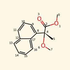 COC(=O)[C@](C)(OC)c1cccc2ccccc12